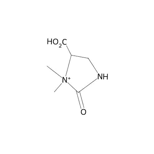 C[N+]1(C)C(=O)NCC1C(=O)O